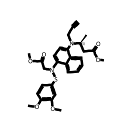 C#CCN(c1ccc(N(CC(=O)OC)Sc2ccc(OC)c(OC)c2)c2ccccc12)[C@@H](C)CC(=O)OC